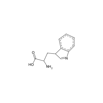 NC(CC1C=Nc2ccccc21)C(=O)O